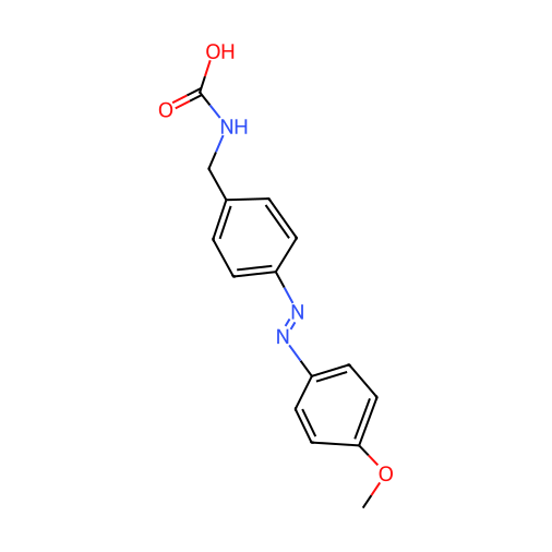 COc1ccc(N=Nc2ccc(CNC(=O)O)cc2)cc1